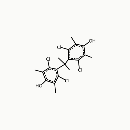 Cc1c(O)c(C)c(Cl)c(C(C)(C)c2c(Cl)c(C)c(O)c(C)c2Cl)c1Cl